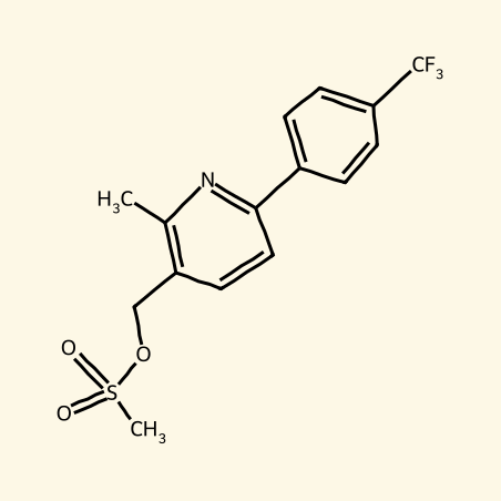 Cc1nc(-c2ccc(C(F)(F)F)cc2)ccc1COS(C)(=O)=O